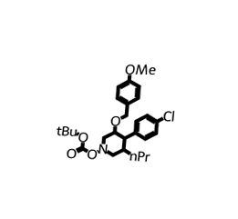 CCCC1CN(OC(=O)OC(C)(C)C)CC(OCc2ccc(OC)cc2)C1c1ccc(Cl)cc1